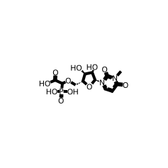 Cn1c(=O)ccn([C@@H]2O[C@H](COC(C(=O)O)P(=O)(O)O)[C@@H](O)[C@H]2O)c1=O